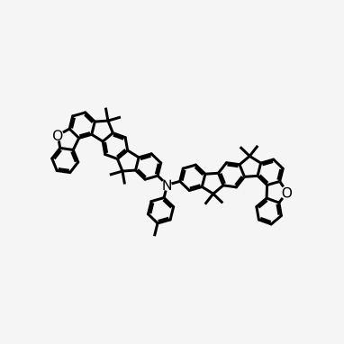 Cc1ccc(N(c2ccc3c(c2)C(C)(C)c2cc4c(cc2-3)C(C)(C)c2ccc3oc5ccccc5c3c2-4)c2ccc3c(c2)C(C)(C)c2cc4c(cc2-3)C(C)(C)c2ccc3oc5ccccc5c3c2-4)cc1